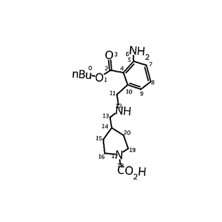 CCCCOC(=O)c1c(N)cccc1CNCC1CCN(C(=O)O)CC1